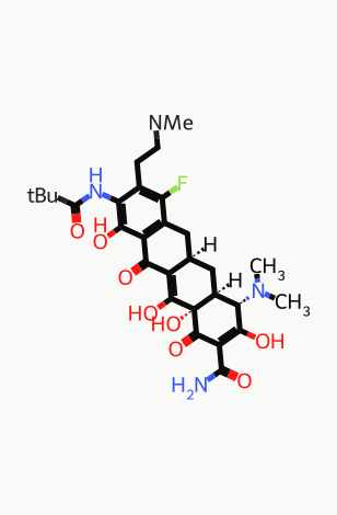 CNCCc1c(F)c2c(c(O)c1NC(=O)C(C)(C)C)C(=O)C1=C(O)[C@]3(O)C(=O)C(C(N)=O)=C(O)[C@@H](N(C)C)[C@@H]3C[C@@H]1C2